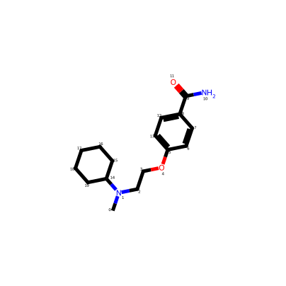 CN(CCOc1ccc(C(N)=O)cc1)C1CCCCC1